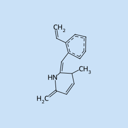 C=Cc1ccccc1/C=C1/NC(=C)C=CC1C